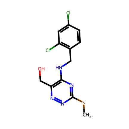 CSc1nnc(CO)c(NCc2ccc(Cl)cc2Cl)n1